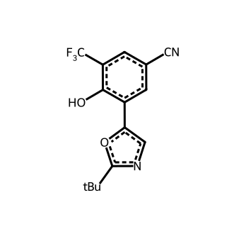 CC(C)(C)c1ncc(-c2cc(C#N)cc(C(F)(F)F)c2O)o1